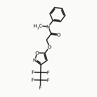 CN(C(=O)COc1cc(C(F)(F)C(F)(F)F)no1)c1ccccc1